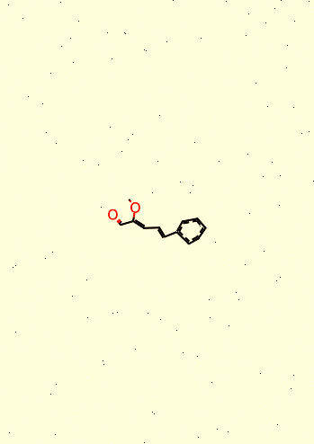 COC(C=O)=CC=Cc1ccccc1